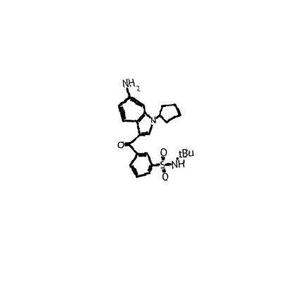 CC(C)(C)NS(=O)(=O)c1cccc(C(=O)c2cn(C3CCCC3)c3cc(N)ccc23)c1